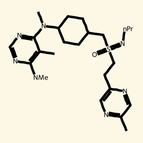 CCCN=S(=O)(CCc1cnc(C)cn1)CC1CCC(N(C)c2ncnc(NC)c2C)CC1